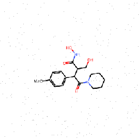 COc1ccc(C(C(=O)N2CCCCC2)C(CO)C(=O)NO)cc1